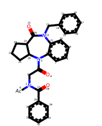 CC(=O)N(CC(=O)N1c2ccccc2N(Cc2ccccc2)C(=O)C2CCCC21)C(=O)c1ccccc1